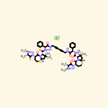 CN[C@@H](C)C(=O)N[C@H]1CCS[C@H]2CC(C)(C)[C@@H](C(=O)N[C@H](C(=O)NCC#CC#CCNC(=O)[C@@H](NC(=O)[C@H]3N4C(=O)[C@@H](NC(=S)[C@H](C)NC)CCS[C@H]4CC3(C)C)c3ccccc3)c3ccccc3)N2C1=O.Cl.Cl